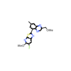 COCc1cnc2c(-c3nc4cc(F)c(OC)nc4s3)cc(C)cc2n1